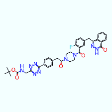 CC(C)(C)OC(=O)NCc1nnc(-c2ccc(CC(=O)N3CCN(C(=O)c4cc(Cc5n[nH]c(=O)c6ccccc56)ccc4F)CC3)cc2)nn1